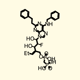 CC/C=C(/COP(=O)(O)CP(=O)(O)O)[C@@H](O)[C@H](F)[C@@H](O)n1cnc2c(NCc3ccccc3)nc(CCc3ccccc3)nc21